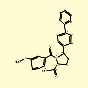 COc1cccc(C(=O)N2C(c3ccc(-c4ccccc4)cc3)CC[C@H]2C(=O)O)c1